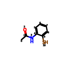 CC(=O)Nc1ccccc1S